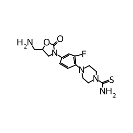 NCC1CN(c2ccc(N3CCN(C(N)=S)CC3)c(F)c2)C(=O)O1